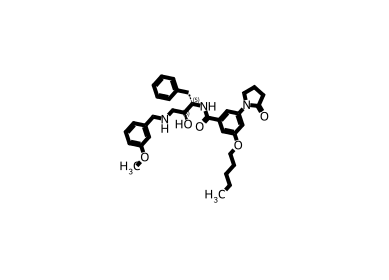 CCCCCOc1cc(C(=O)N[C@@H](Cc2ccccc2)[C@@H](O)CNCc2cccc(OC)c2)cc(N2CCCC2=O)c1